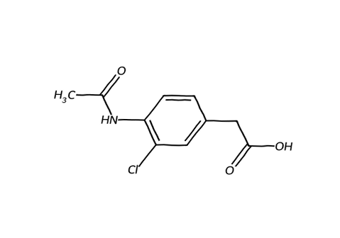 CC(=O)Nc1ccc(CC(=O)O)cc1Cl